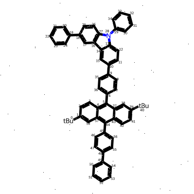 CC(C)(C)c1ccc2c(-c3ccc(-c4ccc5c(c4)c4cc(-c6ccccc6)ccc4n5-c4ccccc4)cc3)c3cc(C(C)(C)C)ccc3c(-c3ccc(-c4ccccc4)cc3)c2c1